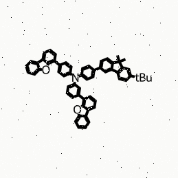 CC(C)(C)c1ccc2c(c1)C(C)(C)c1ccc(-c3ccc(N(c4ccc(-c5cccc6c5oc5ccccc56)cc4)c4cccc(-c5cccc6c5oc5ccccc56)c4)cc3)cc1-2